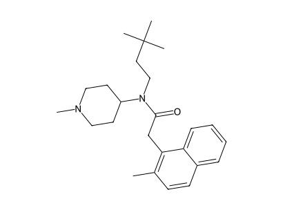 Cc1ccc2ccccc2c1CC(=O)N(CCC(C)(C)C)C1CCN(C)CC1